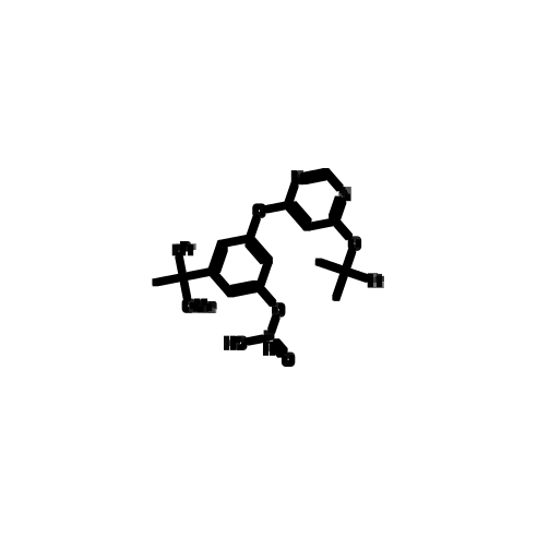 CCCC(C)(OC)c1cc(Oc2cc(OC(C)(C)CC)ncn2)cc(O[PH](=O)O)c1